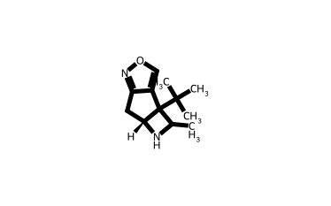 CC1N[C@@H]2Cc3nocc3C12C(C)(C)C